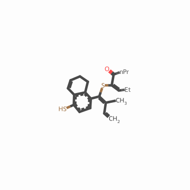 C=C/C(C)=C(/S/C(=C/CC)C(=O)CCC)c1ccc(S)c2c1CCC=C2